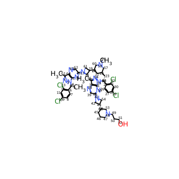 Cc1nn([C@H](C)c2ccc(Cl)cc2Cl)c2nc(N3CC([C@@H]4CC(C[C@H](c5ccc(Cl)cc5Cl)n5nc(C)c6ncc(N7CC([C@H]8CCCN(CCCO)C8)C7)nc65)CN(C)C4)C3)cnc12